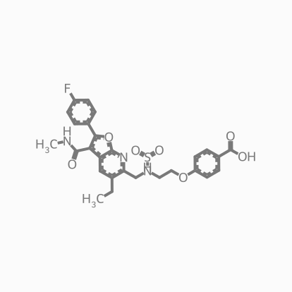 CCc1cc2c(C(=O)NC)c(-c3ccc(F)cc3)oc2nc1CN(CCOc1ccc(C(=O)O)cc1)[SH](=O)=O